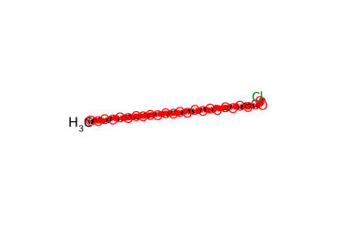 COCCOCCOCCOCCOCCOCCOCCOCCOCCOCCOCCOCCOCCOCCOCCOCCOCCOCCOCCOCCOCCOCCOCC(=O)OCCl